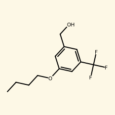 CCCCOc1cc(CO)cc(C(F)(F)F)c1